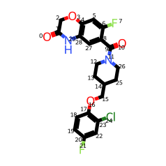 O=C1COc2cc(F)c(C(=O)N3CCC(COc4ccc(F)cc4Cl)CC3)cc2N1